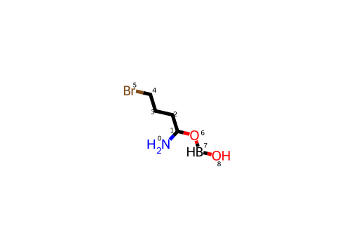 NC(CCCBr)OBO